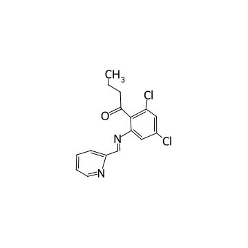 CCCC(=O)c1c(Cl)cc(Cl)cc1/N=C/c1ccccn1